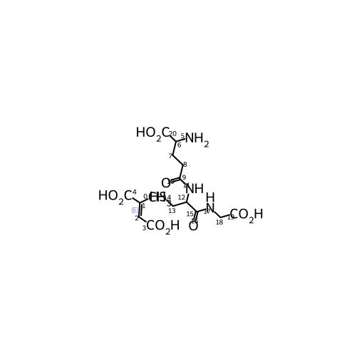 C/C(=C\C(=O)O)C(=O)O.NC(CCC(=O)NC(CS)C(=O)NCC(=O)O)C(=O)O